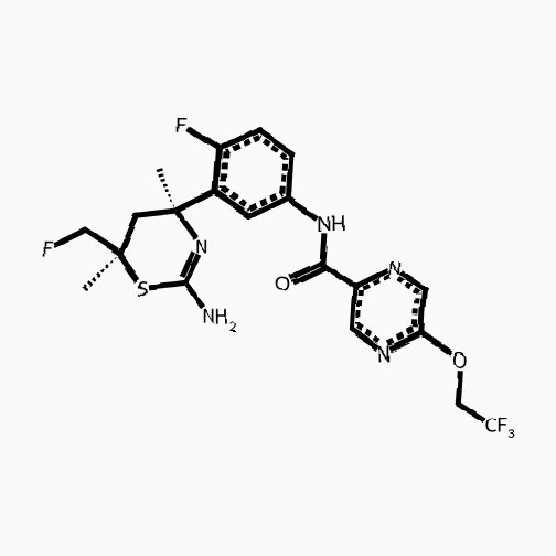 C[C@]1(CF)C[C@@](C)(c2cc(NC(=O)c3cnc(OCC(F)(F)F)cn3)ccc2F)N=C(N)S1